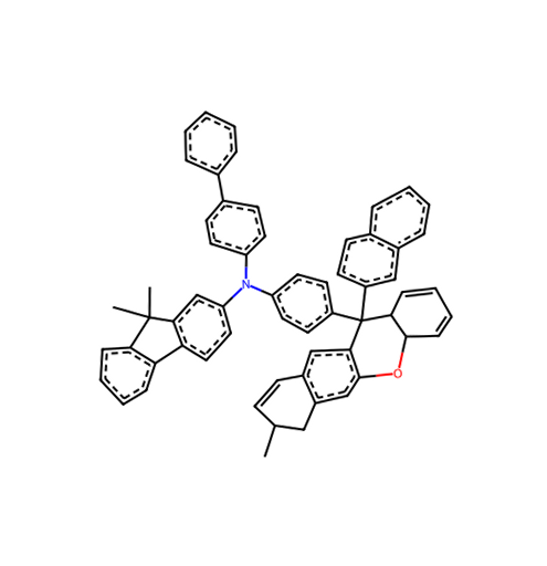 CC1C=Cc2cc3c(cc2C1)OC1C=CC=CC1C3(c1ccc(N(c2ccc(-c3ccccc3)cc2)c2ccc3c(c2)C(C)(C)c2ccccc2-3)cc1)c1ccc2ccccc2c1